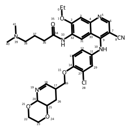 CCOc1cc2ncc(C#N)c(Nc3ccc(OCC4C=NC5OCCOC5C4)c(Cl)c3)c2cc1NC(=O)CCCN(C)C